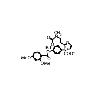 COc1ccc(C(=O)Oc2ccc([N+]3(C(=O)[O-])C=CN=C3CCN(C)C(=O)OC(C)(C)C)cc2)c(OC)c1